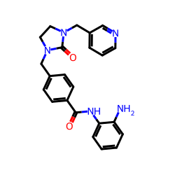 Nc1ccccc1NC(=O)c1ccc(CN2CCN(Cc3cccnc3)C2=O)cc1